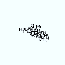 Cc1c(B2OC(C)(C)C(C)(C)O2)cnc2c1N(C(=O)OC(C)(C)C)CC(C)C2